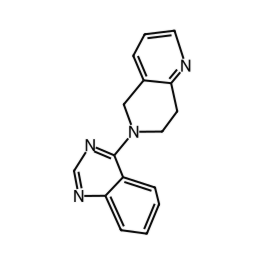 c1cnc2c(c1)CN(c1ncnc3ccccc13)CC2